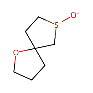 [O-][S+]1CCC2(CCCO2)C1